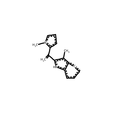 C=C(c1[nH]c2ccccc2c1C)c1cccn1C